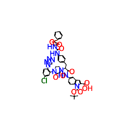 CC(C)(C)OC(=O)n1c(C(=O)O)cc2cc(NC(=O)C(Cc3ccc(NC(=O)NS(=O)(=O)c4ccccc4)cc3)N3CCN(c4cc(Cl)ccc4-n4cnnn4)C(=O)C3=O)ccc21